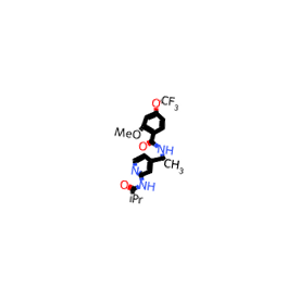 COc1cc(OC(F)(F)F)ccc1C(=O)NC(C)c1ccnc(NC(=O)C(C)C)c1